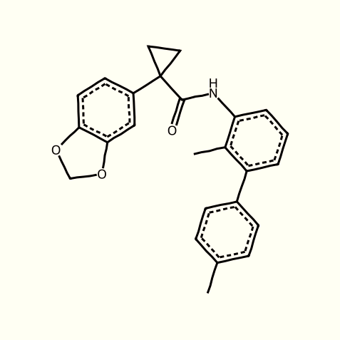 Cc1ccc(-c2cccc(NC(=O)C3(c4ccc5c(c4)OCO5)CC3)c2C)cc1